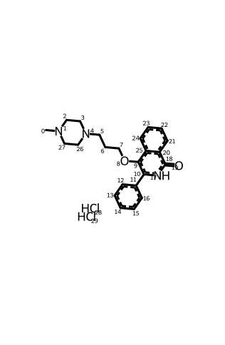 CN1CCN(CCCOc2c(-c3ccccc3)[nH]c(=O)c3ccccc23)CC1.Cl.Cl